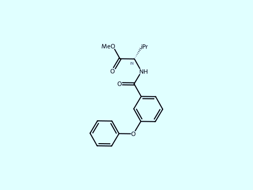 COC(=O)[C@@H](NC(=O)c1cccc(Oc2ccccc2)c1)C(C)C